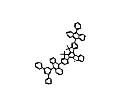 CC1(C)c2cc(-c3c4ccccc4c(-c4cc(-c5ccccc5)cc(-c5ccccc5)c4)c4ccccc34)ccc2-c2c1c1c(c3c2oc2ccccc23)-c2ccc(-c3c4ccccc4c(-c4ccccc4)c4ccccc34)cc2C1(C)C